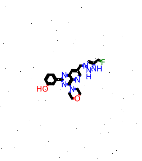 Oc1cccc(-c2nc(N3CCOCC3)c3ncc(CN4C=C(CF)NN4)cc3n2)c1